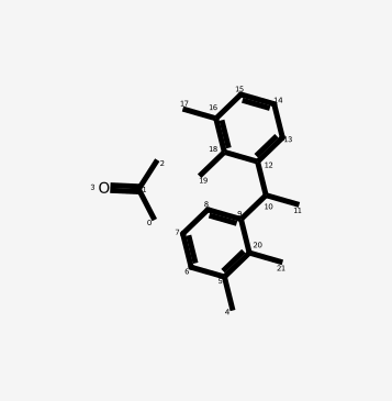 CC(C)=O.Cc1cccc(C(C)c2cccc(C)c2C)c1C